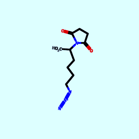 [N-]=[N+]=NCCCCC(C(=O)O)N1C(=O)CCC1=O